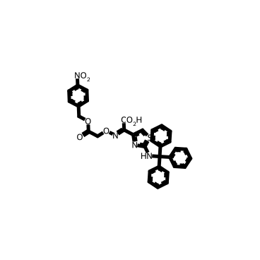 O=C(CON=C(C(=O)O)c1csc(NC(c2ccccc2)(c2ccccc2)c2ccccc2)n1)OCc1ccc([N+](=O)[O-])cc1